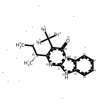 [2H]C([2H])([2H])c1c([C@H](C)CC)nc2[nH]c3ccccc3n2c1=O